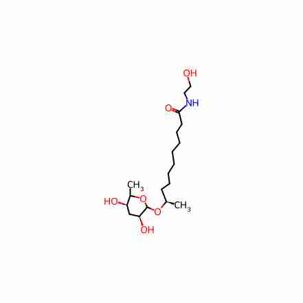 CC1OC(O[C@H](C)CCCCCCCCC(=O)NCCO)[C@@H](O)C[C@H]1O